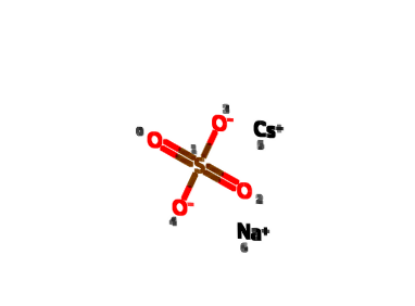 O=S(=O)([O-])[O-].[Cs+].[Na+]